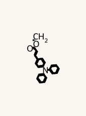 C=COC(=O)C=Cc1ccc(N(c2ccccc2)c2ccccc2)cc1